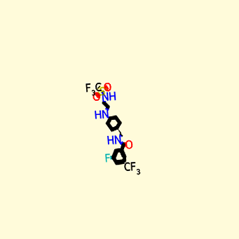 O=C(NC[C@H]1CC[C@@H](NCCNS(=O)(=O)C(F)(F)F)CC1)c1cc(F)cc(C(F)(F)F)c1